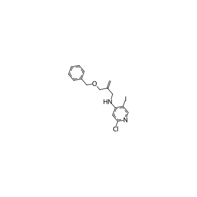 C=C(CNc1cc(Cl)ncc1I)COCc1ccccc1